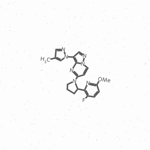 COc1ccc(F)c(C2CCCN2c2ccn3ncc(-n4cc(C)cn4)c3n2)n1